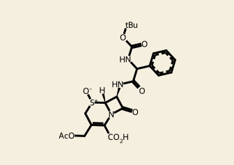 CC(=O)OCC1=C(C(=O)O)N2C(=O)[C@H](NC(=O)C(NC(=O)OC(C)(C)C)c3ccccc3)[C@H]2[S+]([O-])C1